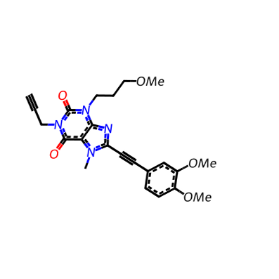 C#CCn1c(=O)c2c(nc(C#Cc3ccc(OC)c(OC)c3)n2C)n(CCCOC)c1=O